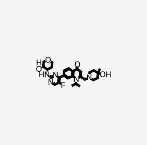 CC(C)n1c(CN2CCC(C)(O)CC2)cc(=O)c2ccc(-c3nc(N[C@@H]4CCOC[C@H]4O)ncc3F)cc21